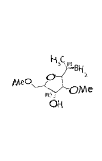 B[C@H](C)C1OC(COC)[C@@H](O)C1OC